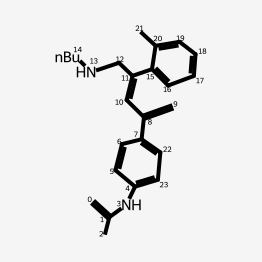 C=C(C)Nc1ccc(C(=C)/C=C(/CNCCCC)c2ccccc2C)cc1